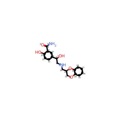 NC(=O)c1cc(C(O)CNCC2COc3ccccc3O2)ccc1O